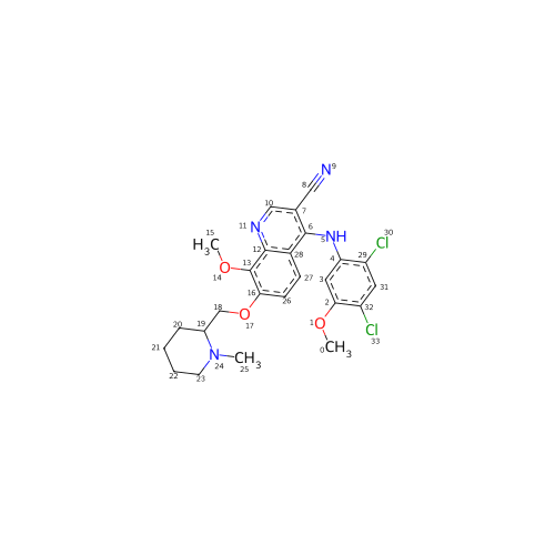 COc1cc(Nc2c(C#N)cnc3c(OC)c(OCC4CCCCN4C)ccc23)c(Cl)cc1Cl